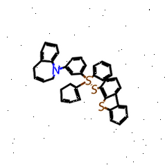 C1=CCCC(S(Sc2cccc3c2sc2ccccc23)(c2ccccc2)c2cccc(N3CC=CCc4ccccc43)c2)=C1